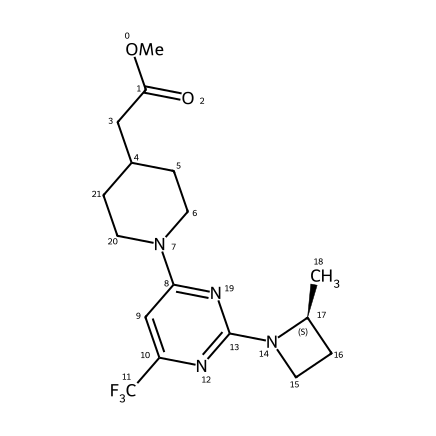 COC(=O)CC1CCN(c2cc(C(F)(F)F)nc(N3CC[C@@H]3C)n2)CC1